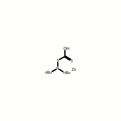 CCCCN(CCCC)SC(O)=S.[Zn]